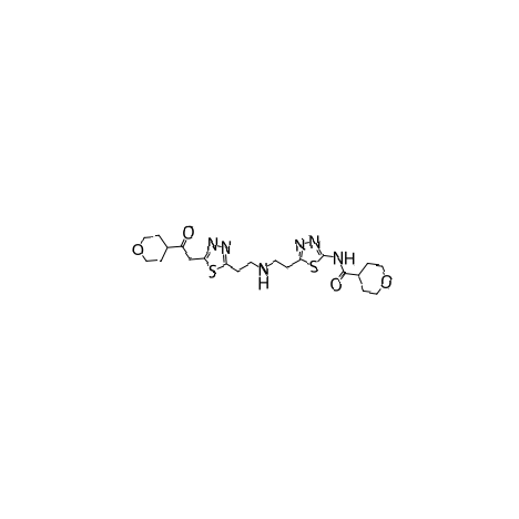 O=C(Cc1nnc(CCNCCc2nnc(NC(=O)C3CCOCC3)s2)s1)C1CCOCC1